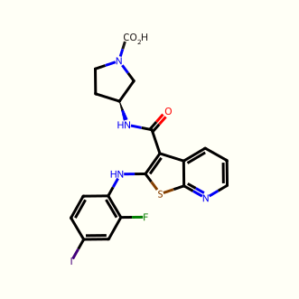 O=C(N[C@H]1CCN(C(=O)O)C1)c1c(Nc2ccc(I)cc2F)sc2ncccc12